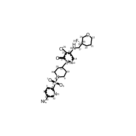 N#Cc1ccc(S(=O)(=O)N2CCC(n3ncc(NC[C@]4(F)CCCOC4)c(Cl)c3=O)CC2)nc1